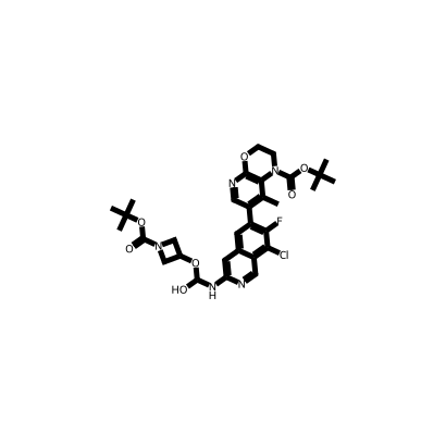 Cc1c(-c2cc3cc(NC(O)OC4CN(C(=O)OC(C)(C)C)C4)ncc3c(Cl)c2F)cnc2c1N(C(=O)OC(C)(C)C)CCO2